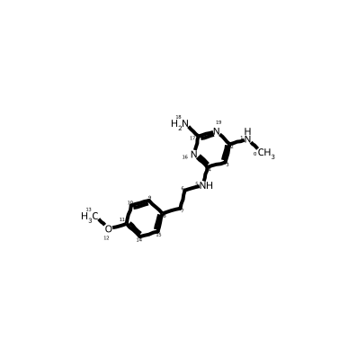 CNc1cc(NCCc2ccc(OC)cc2)nc(N)n1